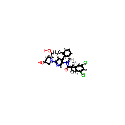 Cc1ccccc1-c1cc(N2C[C@H](O)C[C@H]2CO)ncc1N(C)C(=O)C(C)(C)c1cc(Cl)cc(Cl)c1